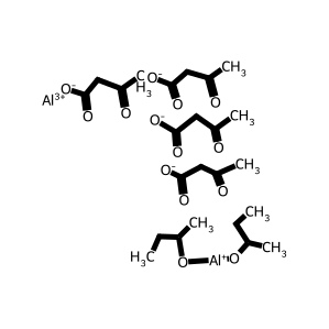 CC(=O)CC(=O)[O-].CC(=O)CC(=O)[O-].CC(=O)CC(=O)[O-].CC(=O)CC(=O)[O-].CCC(C)[O][Al+][O]C(C)CC.[Al+3]